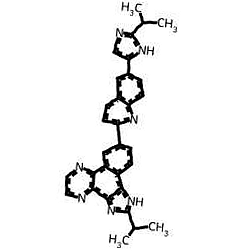 CC(C)c1ncc(-c2ccc3nc(-c4ccc5c(c4)c4nccnc4c4nc(C(C)C)[nH]c54)ccc3c2)[nH]1